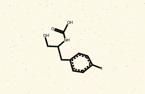 O=C(O)NC(CO)Cc1ccc(I)cc1